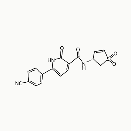 N#Cc1ccc(-c2ccc(C(=O)N[C@@H]3C=CS(=O)(=O)C3)c(=O)[nH]2)cc1